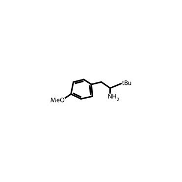 COc1ccc(CC(N)C(C)(C)C)cc1